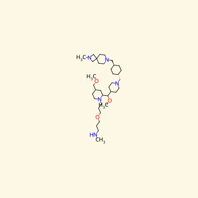 CNCCCOCCCN1CCC(COC)CC1C(OC)C1CCN(C[C@H]2CC[C@H](CN3CCC4(CC3)CN(C)C4)CC2)CC1